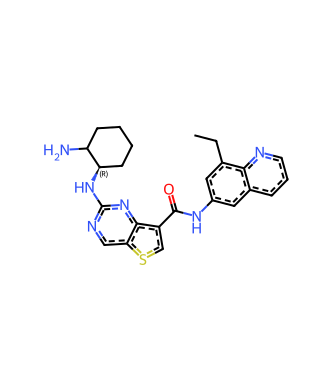 CCc1cc(NC(=O)c2csc3cnc(N[C@@H]4CCCCC4N)nc23)cc2cccnc12